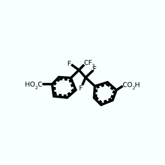 O=C(O)c1cccc(C(F)(F)C(F)(c2cccc(C(=O)O)c2)C(F)(F)F)c1